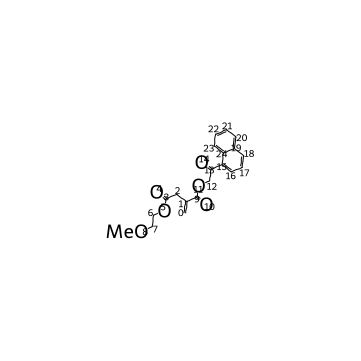 C=C(CC(=O)OCCOC)C(=O)OCC(=O)c1cccc2ccccc12